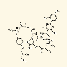 Cc1nc(-c2ccc(C(C)(C)C)cc2C#N)nc(N)c1C(=O)N[C@@H](CNS(N)(=O)=O)C(=O)N(C)[C@@H]1C(=O)N[C@@H](C)C(=O)N[C@H](C(=O)O)Cc2ccc(OC[C@H](O)CN)c(c2)-c2cc1cc(OC[C@H](O)CN)c2O